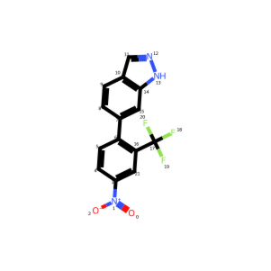 O=[N+]([O-])c1ccc(-c2ccc3cn[nH]c3c2)c(C(F)(F)F)c1